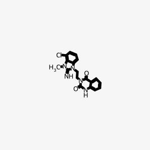 Cn1c(=N)n(CCn2c(=O)[nH]c3ccccc3c2=O)c2cccc(Cl)c21